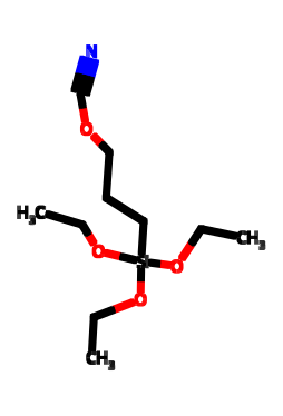 CCO[Si](CCCOC#N)(OCC)OCC